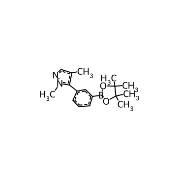 Cc1cnn(C)c1-c1cccc(B2OC(C)(C)C(C)(C)O2)c1